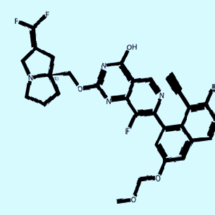 C#Cc1c(F)ccc2cc(OCOC)cc(-c3ncc4c(O)nc(OC[C@@]56CCCN5CC(=C(F)F)C6)nc4c3F)c12